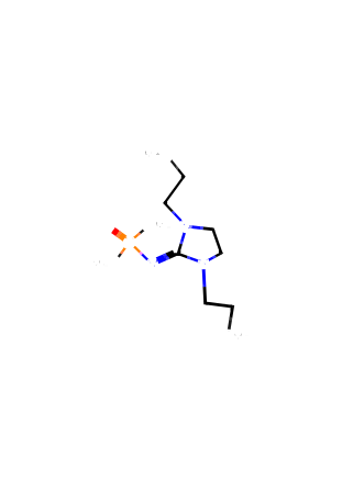 COCCN1CCN(CCOC)C1=NP(=O)(OC)OC